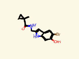 CC1(C(=O)NCc2cc3cc(Br)c(O)cc3[nH]2)CC1